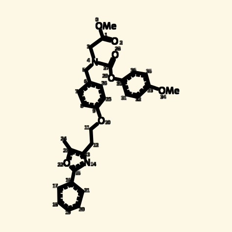 COC(=O)CN(Cc1ccc(OCCc2nc(-c3ccccc3)oc2C)cc1)C(=O)Oc1ccc(OC)cc1